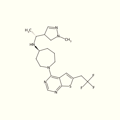 C[C@@H](N[C@H]1CCCN(c2ncnc3sc(CC(F)(F)F)cc23)CC1)C1C=NN(C)C1